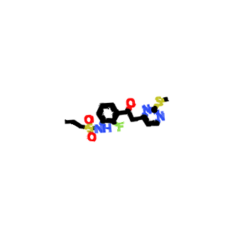 CCCS(=O)(=O)Nc1cccc(C(=O)Cc2ccnc(SC)n2)c1F